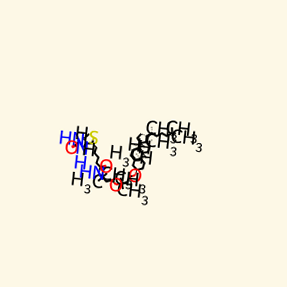 CC(C)CCC[C@@H](C)[C@H]1CC[C@H]2[C@@H]3CC=C4C[C@H](OCCC(C)(C)OCCC(C)(C)NC(=O)CCCC[C@@H]5SC[C@@H]6NC(=O)N[C@@H]65)CC[C@]4(C)[C@H]3CC[C@]12C